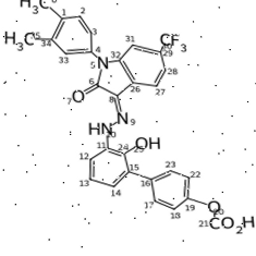 Cc1ccc(N2C(=O)C(=NNc3cccc(-c4ccc(OC(=O)O)cc4)c3O)c3ccc(C(F)(F)F)cc32)cc1C